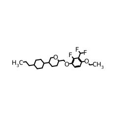 CCCC1CCC(C2CCC(COc3ccc(OCC)c(C(F)F)c3F)OC2)CC1